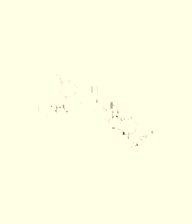 CC(C)(C[C@@](O)(Cc1cc2nc(S(C)(=O)=O)ccc2[nH]1)C(F)(F)F)c1ccc(F)cc1C(N)=O